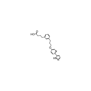 O=C(O)CCCc1cccc(CCCOc2ccc(-c3ccn[nH]3)nc2)c1